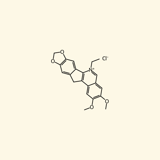 CC[n+]1cc2cc(OC)c(OC)cc2c2c1-c1cc3c(cc1C2)OCO3.[Cl-]